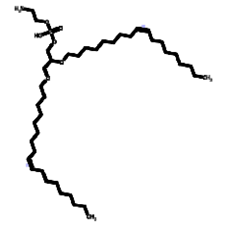 CCCCCCCC/C=C\CCCCCCCCOCC(COP(=O)(O)OCCN)OCCCCCCCC/C=C\CCCCCCCC